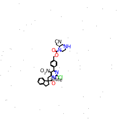 COC(=O)C1(Cc2nc(Cl)nc(-c3ccc(COC(=O)N4CCNC[C@@H]4CC#N)cc3)c2[N+](=O)[O-])CCc2ccccc21